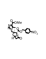 COC(=O)c1nnn(C[C@]2(C)S[C@H]3CC(=O)N3[C@H]2C(=O)OCc2ccc([N+](=O)[O-])cc2)c1C